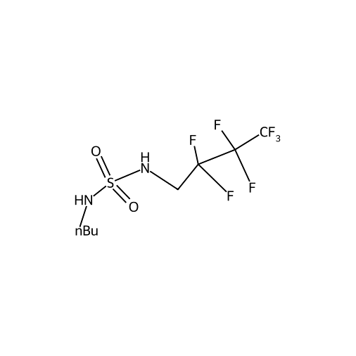 CCCCNS(=O)(=O)NCC(F)(F)C(F)(F)C(F)(F)F